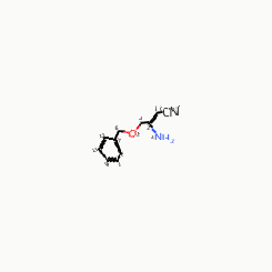 N#CC=C(N)COCc1ccccc1